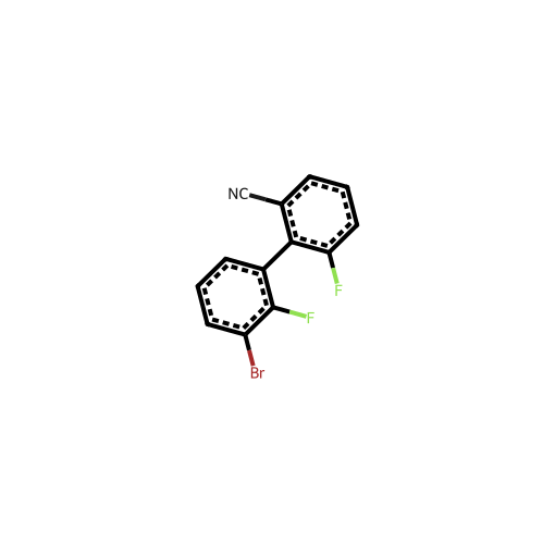 N#Cc1cccc(F)c1-c1cccc(Br)c1F